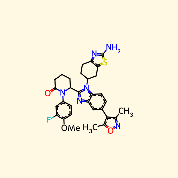 COc1ccc(N2C(=O)CCCC2c2nc3cc(-c4c(C)noc4C)ccc3n2C2CCc3nc(N)sc3C2)cc1F